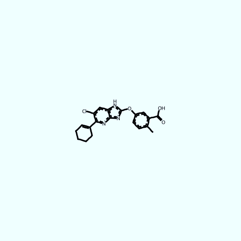 Cc1ccc(Oc2nc3nc(C4=CCCCC4)c(Cl)cc3[nH]2)cc1C(=O)O